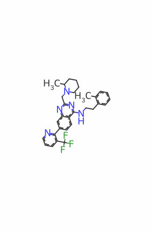 Cc1ccccc1CCNc1nc(CN2CCCCC2C)nc2cc(-c3ncccc3C(F)(F)F)ccc12